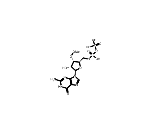 COO[C@H]1[C@@H](O)[C@H](n2cnc3c(=O)[nH]c(N)nc32)O[C@@H]1COP(=O)(O)OP(=O)(O)O